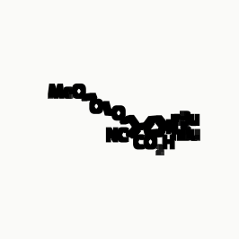 CCCCN(CCCC)c1ccc(C(CCOCCOCCOC)=C(C#N)C(=O)O)cc1